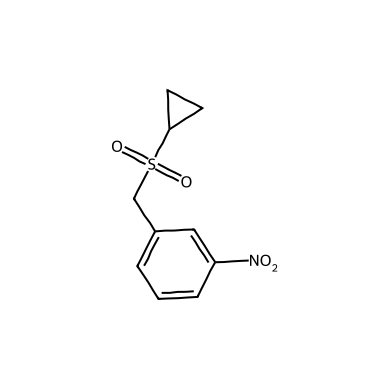 O=[N+]([O-])c1cccc(CS(=O)(=O)C2CC2)c1